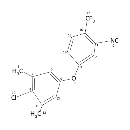 [C-]#[N+]c1cc(Oc2cc(C)c(Cl)c(C)c2)ccc1C(F)(F)F